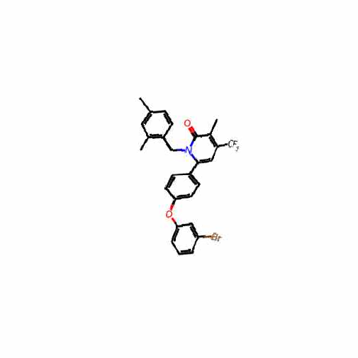 Cc1ccc(Cn2c(-c3ccc(Oc4cccc(Br)c4)cc3)cc(C(F)(F)F)c(C)c2=O)c(C)c1